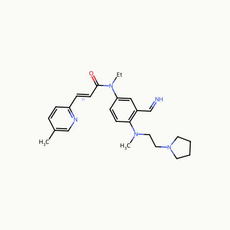 CCN(C(=O)/C=C/c1ccc(C)cn1)c1ccc(N(C)CCN2CCCC2)c(C=N)c1